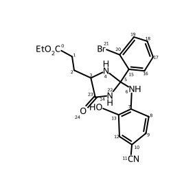 CCOC(=O)CCC1NC(Nc2ccc(C#N)cc2O)(c2ccccc2Br)NC1=O